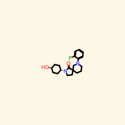 O=C1N([C@H]2CC[C@H](O)CC2)CCC12CCCN(c1ccccc1F)C2